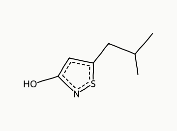 CC(C)Cc1cc(O)ns1